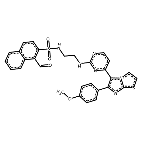 COc1ccc(-c2nc3sccn3c2-c2ccnc(NCCNS(=O)(=O)c3ccc4ccccc4c3C=O)n2)cc1